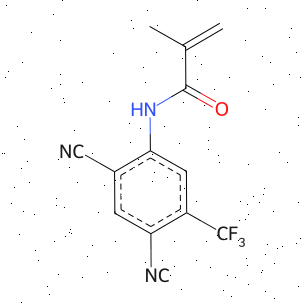 [C-]#[N+]c1cc(C#N)c(NC(=O)C(=C)C)cc1C(F)(F)F